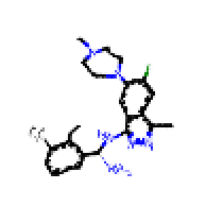 Cc1c([C@@H](N)Nc2nnc(C)c3cc(F)c(N4CCN(C)CC4)cc23)cccc1C(F)(F)F